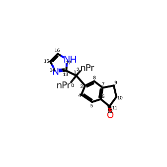 CCCC(CCC)(c1ccc2c(c1)CCC2=O)c1ncc[nH]1